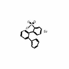 O=S(=O)(Cl)c1ccccc1-c1ccccc1-c1ccccc1.[Eu]